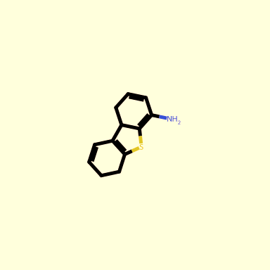 NC1=C2SC3=C(C=CCC3)C2CC=C1